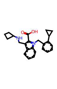 O=C(O)c1c(CNC2CCC2)c2ccccc2n1Cc1ccccc1C1CC1